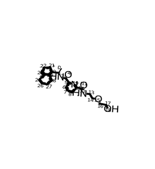 C[C@@H](NC(=O)c1cccc(C(=O)NCCOCCO)n1)c1cccc2ccccc12